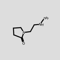 CCCNCCN1CCCC1=O